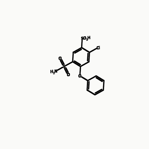 NS(=O)(=O)c1cc(S(=O)(=O)O)c(Cl)cc1Oc1ccccc1